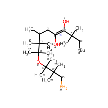 CC(C/C(O)=C(\O)C(C)(C)CC(C)(C)C)C(C)(C)C(C)(C)OC(C)(C)C(C)(C)CP